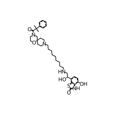 CC(C)(C(=O)N1CCOC2(CCN(CCCCCCCCCNCC(O)c3ccc(O)c4[nH]c(=O)sc34)CC2)C1)c1ccccc1